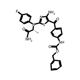 C[C@H](C(N)=O)N(c1ccc(F)cc1)c1nc(N)c(C(=O)c2ccc(NC(=O)OCc3ccccc3)cc2)s1